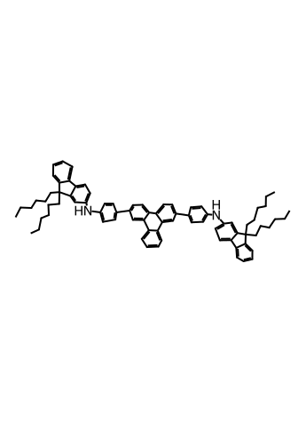 CCCCCCC1(CCCCCC)c2ccccc2-c2ccc(Nc3ccc(-c4ccc5c6ccc(-c7ccc(Nc8ccc9c(c8)C(CCCCCC)(CCCCCC)c8ccccc8-9)cc7)cc6c6ccccc6c5c4)cc3)cc21